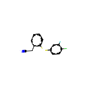 N#CCc1ccccc1Sc1ccc(Cl)c(F)c1